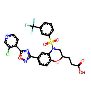 O=C(O)CCC1CN(S(=O)(=O)c2cccc(C(F)(F)F)c2)c2cc(-c3noc(-c4ccncc4Cl)n3)ccc2O1